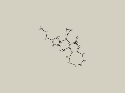 O=c1oc2c(c(O)c1C(c1ccc(CCO)s1)C1CC1)CCCCCC2